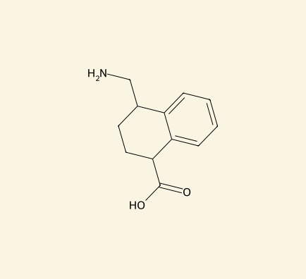 NCC1CCC(C(=O)O)c2ccccc21